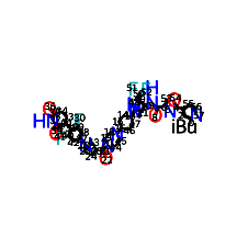 CCC(C)c1cc(-c2nc(C(=O)Nc3cn(C4CCC(N5CCN(C(=O)[C@@H]6CCN(c7cc(F)c([C@H]8CCC(=O)NC8=O)c(F)c7)C6)CC5)CC4)nc3C(F)F)co2)ccn1